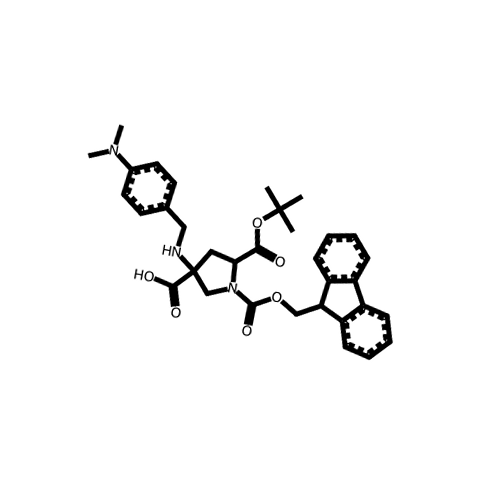 CN(C)c1ccc(CNC2(C(=O)O)CC(C(=O)OC(C)(C)C)N(C(=O)OCC3c4ccccc4-c4ccccc43)C2)cc1